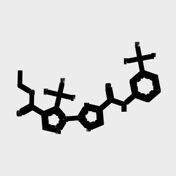 CCOC(=O)c1cnn(-c2nc(C(=O)Nc3cccc(C(F)(F)F)c3)cs2)c1C(F)(F)F